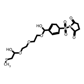 CSCC(O)OCCOCCOC(O)C1=CCC(S(=O)(=O)N2C(=O)CCC2=O)C=C1